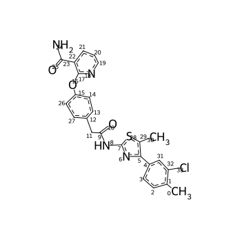 Cc1ccc(-c2nc(NC(=O)Cc3ccc(Oc4ncccc4C(N)=O)cc3)sc2C)cc1Cl